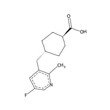 Cc1ncc(F)cc1C[C@H]1CC[C@H](C(=O)O)CC1